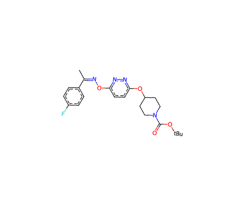 CC(=NOc1ccc(OC2CCN(C(=O)OC(C)(C)C)CC2)nn1)c1ccc(F)cc1